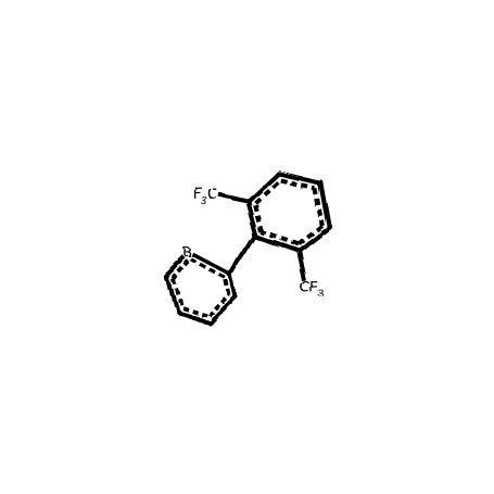 FC(F)(F)c1cccc(C(F)(F)F)c1-c1bcccc1